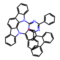 c1ccc(-c2nc(-c3ccccc3)nc(-n3c4ccccc4c4ccc5c6ccccc6n(-c6ccc(-c7ccccc7-c7ccccc7)cc6)c5c43)n2)cc1